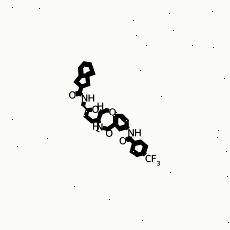 CN1C(=O)c2cc(NC(=O)c3ccc(C(F)(F)F)cc3)ccc2OC[C@@H]2O[C@H](CNC(=O)C3Cc4ccccc4C3)CC[C@@H]21